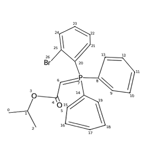 CC(C)OC(=O)C=P(c1ccccc1)(c1ccccc1)c1ccccc1Br